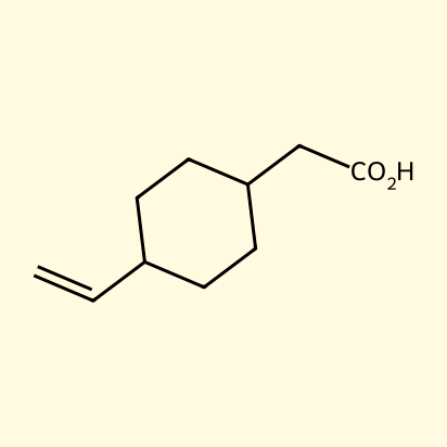 C=CC1CCC(CC(=O)O)CC1